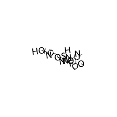 COc1cccc(F)c1-c1cc(C)ncc1C(=O)Nc1nnc(OCc2ccc(C(C)(C)O)nc2)s1